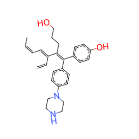 C=CC(=C\C=C/C)/C(CCCO)=C(/c1ccc(O)cc1)c1ccc(N2CCNCC2)cc1